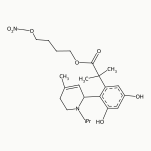 CC1=CC(c2c(O)cc(O)cc2C(C)(C)C(=O)OCCCCO[N+](=O)[O-])N(C(C)C)CC1